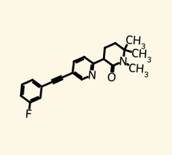 CN1C(=O)C(c2ccc(C#Cc3cccc(F)c3)cn2)CCC1(C)C